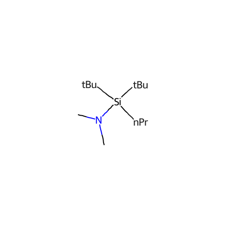 CCC[Si](N(C)C)(C(C)(C)C)C(C)(C)C